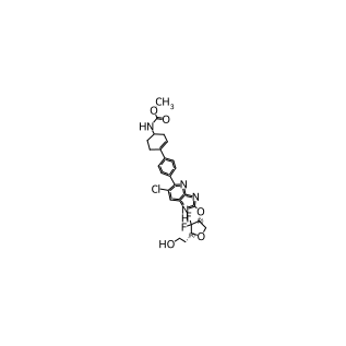 COC(=O)NC1CC=C(c2ccc(-c3nc4nc(O[C@@H]5CO[C@H](CCO)C5(F)F)[nH]c4cc3Cl)cc2)CC1